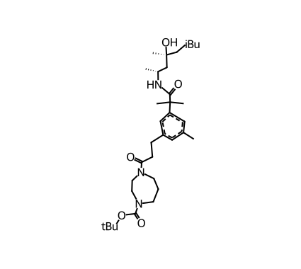 CCC(C)C[C@](C)(O)C[C@@H](C)NC(=O)C(C)(C)c1cc(C)cc(CCC(=O)N2CCCN(C(=O)OC(C)(C)C)CC2)c1